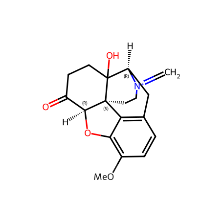 C=[N+]1CC[C@]23c4c5ccc(OC)c4O[C@H]2C(=O)CCC3(O)[C@H]1C5